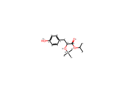 CC(C)OC(=O)C(Cc1ccc(O)cc1)O[Si](C)(C)C